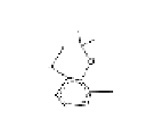 Cc1cccc2c1OC(C)(C)C[CH]2